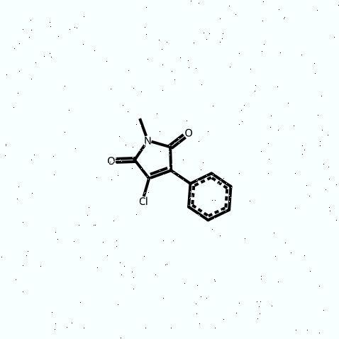 CN1C(=O)C(Cl)=C(c2ccccc2)C1=O